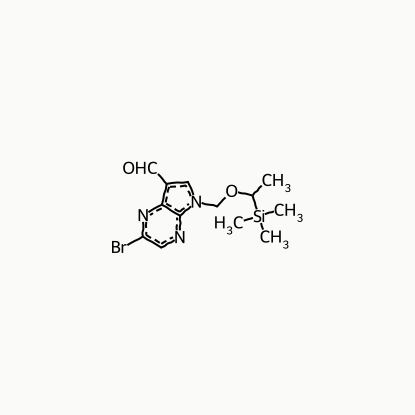 CC(OCn1cc(C=O)c2nc(Br)cnc21)[Si](C)(C)C